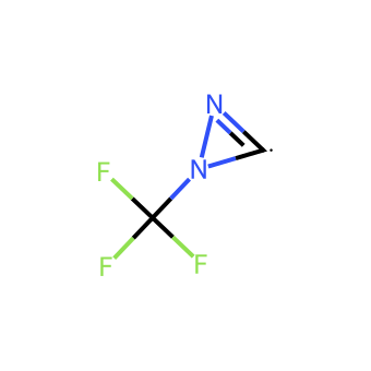 FC(F)(F)N1[C]=N1